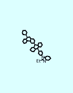 CCc1nc2ccccc2n1-c1ccc(-c2c3ccccc3c(-c3ccc4cc(-c5ccccc5)c5ccccc5c4c3)c3ccccc23)cc1